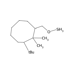 CC(C)(C)C1CCCCC[C](CO[SiH3])C1(C)C